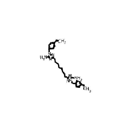 C=Cc1ccc(Cn2nc(CCCCCCCCc3nc(N)n(Cc4ccc(C=C)cc4)n3)nc2N)cc1